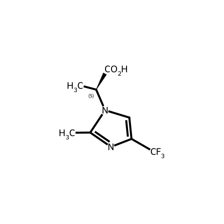 Cc1nc(C(F)(F)F)cn1[C@@H](C)C(=O)O